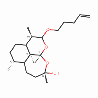 C=CCCCOC1O[C@]23C[C@]24C(CC[C@@H](C)C4CC[C@@](C)(O)O3)[C@H]1C